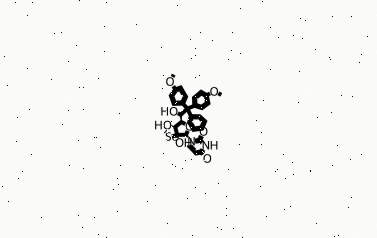 COc1ccc(C(c2ccccc2)(c2ccc(OC)cc2)C(O)[C@H]2O[C@@H](n3ccc(=O)[nH]c3=O)[C@@](O)([Se]C)[C@@H]2O)cc1